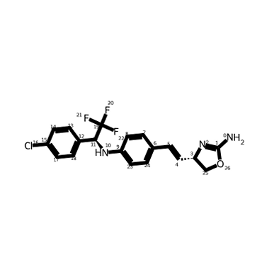 NC1=N[C@@H](C=Cc2ccc(N[C@@H](c3ccc(Cl)cc3)C(F)(F)F)cc2)CO1